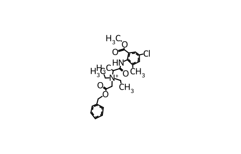 CC[N+](CC)(CC(=O)OCc1ccccc1)C(C)C(=O)Nc1c(C)cc(Cl)cc1C(=O)OC